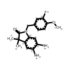 COc1ccc(CN2C(=O)C(C)(C)c3cc(N)c(N)cc32)cc1F